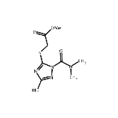 COC(=O)CSc1nc(C(C)(C)C)nn1C(=O)N(C)C